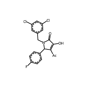 CC(=O)C1=C(O)C(=O)N(Cc2cc(Cl)cc(Cl)c2)C1c1ccc(F)cc1